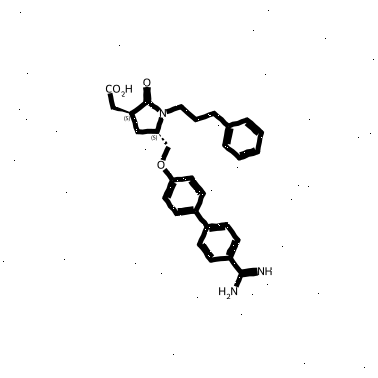 N=C(N)c1ccc(-c2ccc(OC[C@@H]3C[C@@H](CC(=O)O)C(=O)N3CCCc3ccccc3)cc2)cc1